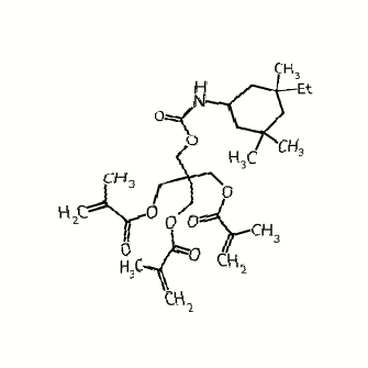 C=C(C)C(=O)OCC(COC(=O)NC1CC(C)(C)CC(C)(CC)C1)(COC(=O)C(=C)C)COC(=O)C(=C)C